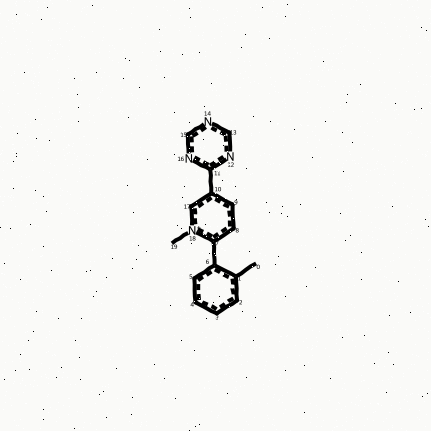 Cc1ccccc1-c1ccc(-c2ncncn2)c[n+]1C